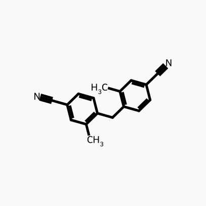 Cc1cc(C#N)ccc1Cc1ccc(C#N)cc1C